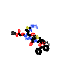 C=CC1(C(=O)OC(c2ccccc2)c2ccccc2)CS[C@@H]2C(NC(=O)C(=NOCC(=O)OC(C)(C)C)c3csc(N)n3)C(=O)N2C1